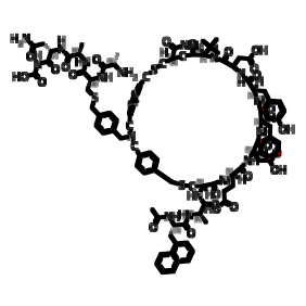 CC(=O)N[C@@H](Cc1cccc2ccccc12)C(=O)N[C@H](C)C(=O)N[C@@H]1CSCc2ccc(cc2)CN(Cc2ccc(CSC[C@H](NC(=O)[C@H](C)N)C(=O)N[C@H](C)C(=O)N[C@@H](CC(N)=O)C(=O)NC(=O)O)cc2)Cc2ccc(cc2)CSC[C@@H](C(N)=O)CC(=O)[C@H](C(C)(C)C)NC(=O)C(CC(=O)O)NC(=O)[C@H](Cc2ccc(O)cc2)NC(=O)[C@H](Cc2ccccc2)NC(=O)[C@H](CC(=O)O)NC(=O)[C@H](CCC(=O)O)NC1=O